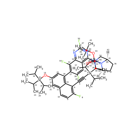 CC(C)[Si](C#Cc1c(F)ccc2cc(O[Si](C(C)C)(C(C)C)C(C)C)cc(-c3c(F)cc4c(N5C[C@H]6CC[C@@H](C5)N6C(=O)OC(C)(C)C)nc(F)nc4c3F)c12)(C(C)C)C(C)C